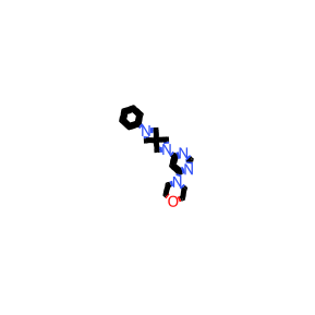 c1ccc(N2CC3(C2)CN(c2cc(N4CCOCC4)ncn2)C3)cc1